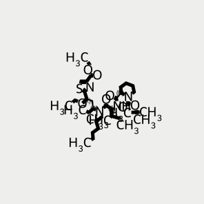 CCCCCCN(C(=O)[C@@H](NC(=O)[C@H]1CCCCN1C(=O)OC(C)(C)C)[C@@H](C)CC)[C@H](C[C@@H](OCC)c1nc(C(=O)OCC)cs1)C(C)C